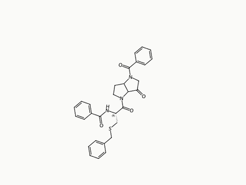 O=C(N[C@@H](CSCc1ccccc1)C(=O)N1CCC2C1C(=O)CN2C(=O)c1ccccc1)c1ccccc1